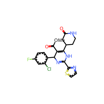 COC(=O)C1=C(C2CCNC(=O)C2)NC(c2nccs2)=NC1c1ccc(F)cc1Cl